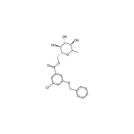 CC1O[C@H](COC(=O)c2cc(Cl)cc(OCc3ccccc3)c2)[C@@H](O)[C@H](O)[C@H]1O